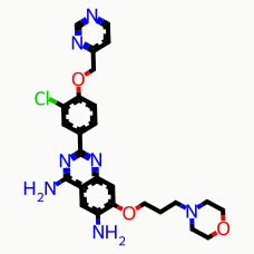 Nc1cc2c(N)nc(-c3ccc(OCc4ccncn4)c(Cl)c3)nc2cc1OCCCN1CCOCC1